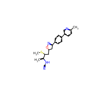 C=C(NC#N)C(CC1CC(c2ccc(-c3ccc(C)nc3)cc2)=NO1)SC